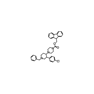 O=C(OCC1c2ccccc2-c2ccccc21)N1CCN(C2CCN(Cc3ccccc3)CC2c2ccc(Cl)cc2)CC1